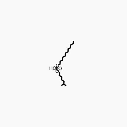 CCCCCCCCCCCCOP(=O)(O)OCCCCCC(C)C